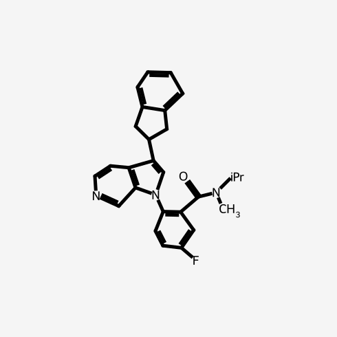 CC(C)N(C)C(=O)c1cc(F)ccc1-n1cc(C2Cc3ccccc3C2)c2ccncc21